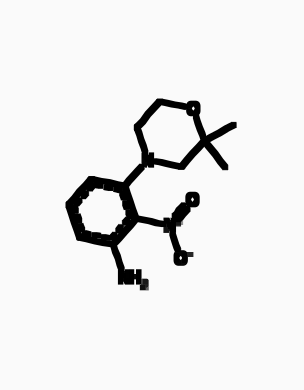 CC1(C)CN(c2cccc(N)c2[N+](=O)[O-])CCO1